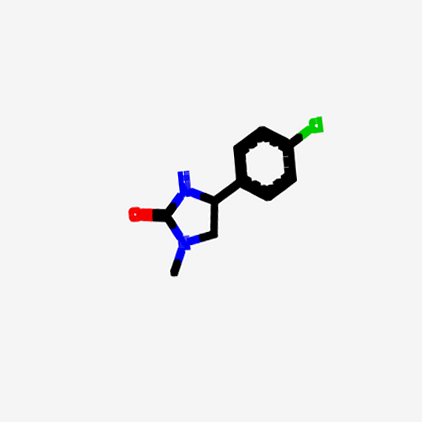 CN1CC(c2ccc(Cl)cc2)NC1=O